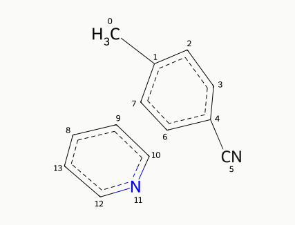 Cc1ccc(C#N)cc1.c1ccncc1